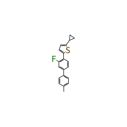 Cc1ccc(-c2ccc(-c3ccc(C4CC4)s3)c(F)c2)cc1